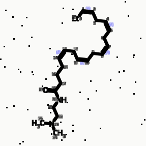 CC/C=C\C/C=C\C/C=C\C/C=C\C/C=C\CCCC(=O)NCCN(C)C